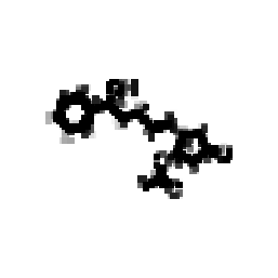 CC(=O)O[C@@H]1CC(=O)C[C@@H]1C=CCCC(O)c1ccccc1